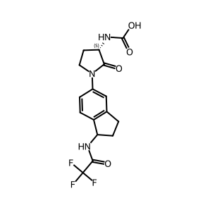 O=C(O)N[C@H]1CCN(c2ccc3c(c2)CCC3NC(=O)C(F)(F)F)C1=O